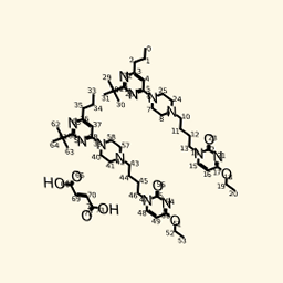 CCCc1cc(N2CCN(CCCCn3ccc(OCC)nc3=O)CC2)nc(C(C)(C)C)n1.CCCc1cc(N2CCN(CCCCn3ccc(OCC)nc3=O)CC2)nc(C(C)(C)C)n1.O=C(O)C=CC(=O)O